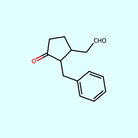 O=CCC1CCC(=O)C1Cc1ccccc1